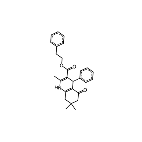 CC1=C(C(=O)OCCc2ccccc2)C(c2ccccc2)C2=C(CC(C)(C)CC2=O)N1